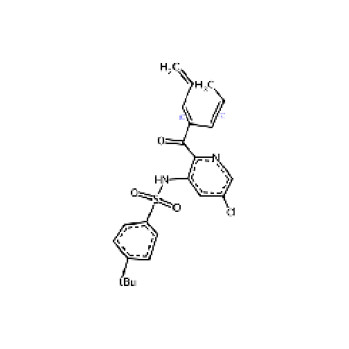 C=C/C=C(\C=C/C)C(=O)c1ncc(Cl)cc1NS(=O)(=O)c1ccc(C(C)(C)C)cc1